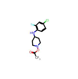 O=C(ON1CCC(Nc2ccc(Cl)cc2F)CC1)C(F)(F)F